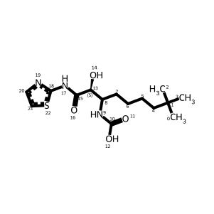 CC(C)(C)CCCCC(NC(=O)O)[C@H](O)C(=O)Nc1nccs1